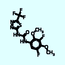 COc1c(F)cc(NC(=O)Nc2nnc(C(F)(F)F)s2)c(OC)c1F